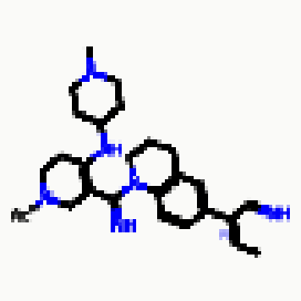 C/C=C(\C=N)c1ccc2c(c1)CCCN2C(=N)C1=C(NC2CCN(C)CC2)CCN(C(C)=O)C1